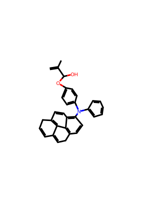 C=C(C)C(O)Oc1ccc(N(c2ccccc2)c2ccc3c4c5c(ccc24)CC=CC5=CC3)cc1